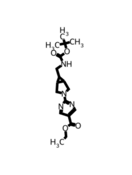 CCOC(=O)c1cnc(N2CC3C(CNC(=O)OC(C)(C)C)C3C2)nc1